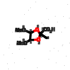 COC1OC(C)(C(=O)O)OC1OC